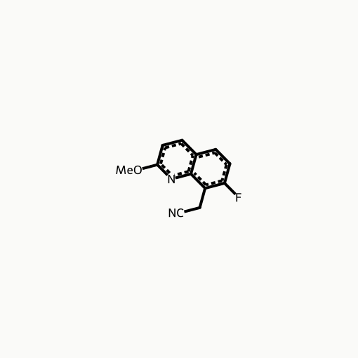 COc1ccc2ccc(F)c(CC#N)c2n1